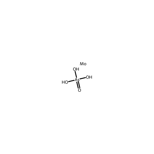 O=[As](O)(O)O.[Mo]